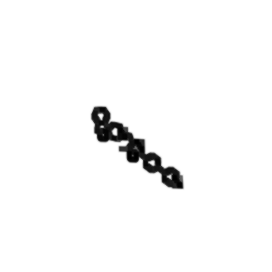 Cc1oc(-c2ccc(-c3ccncc3)cc2)nc1CN1CCC2(CC1)OCc1ccccc12